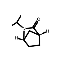 CC(C)N1C(=O)[C@@H]2CC[C@H]1C2